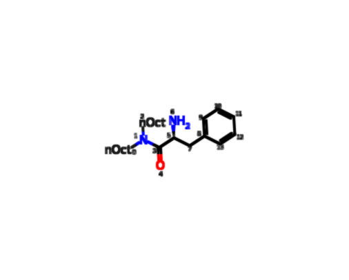 CCCCCCCCN(CCCCCCCC)C(=O)[C@@H](N)Cc1ccccc1